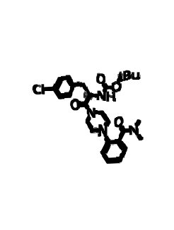 CN(C)C(=O)c1ccccc1N1CCN(C(=O)[C@@H](Cc2ccc(Cl)cc2)NC(=O)OC(C)(C)C)CC1